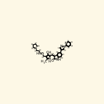 Cc1[nH]c(/C=C2\C(=O)Nc3ccc(-c4cnn(-c5ccccn5)c4)cc32)c(C)c1CONCCN1CCCC1